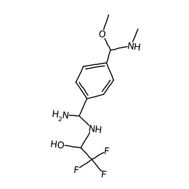 CNC(OC)c1ccc(C(N)NC(O)C(F)(F)F)cc1